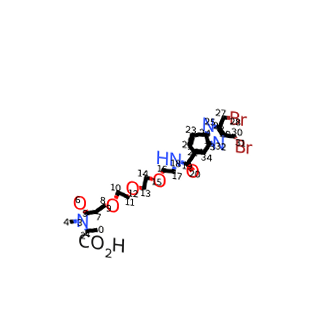 C[C@H](C(=O)O)N(C)C(=O)CCOCCOCCOCCNC(=O)c1ccc2nc(CBr)c(CBr)nc2c1